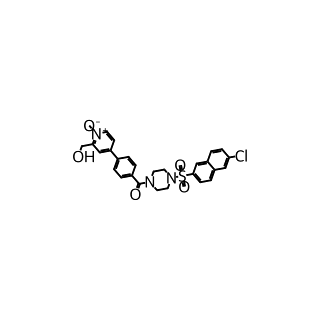 O=C(c1ccc(-c2cc[n+]([O-])c(CO)c2)cc1)N1CCN(S(=O)(=O)c2ccc3cc(Cl)ccc3c2)CC1